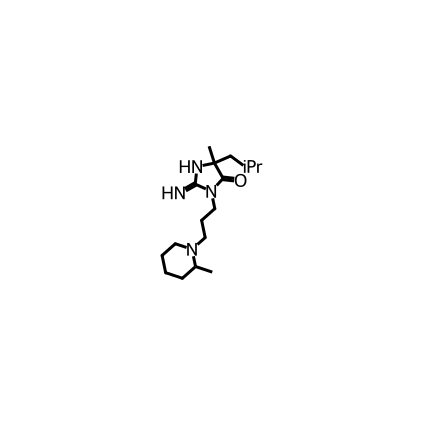 CC(C)CC1(C)NC(=N)N(CCCN2CCCCC2C)C1=O